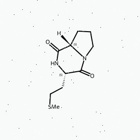 CSCC[C@@H]1NC(=O)[C@@H]2CCCN2C1=O